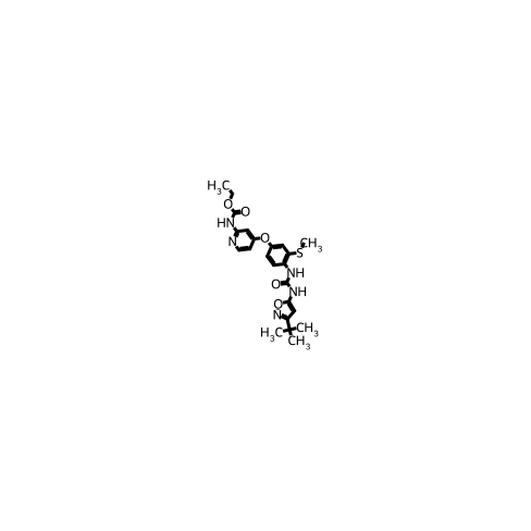 CCOC(=O)Nc1cc(Oc2ccc(NC(=O)Nc3cc(C(C)(C)C)no3)c(SC)c2)ccn1